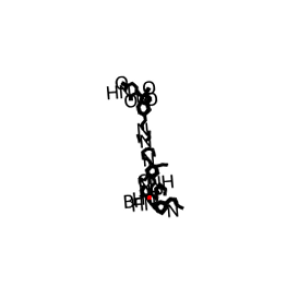 CCc1cc(Nc2ncc(Br)c(Nc3ccc4nc(C)ccc4c3[P]3(O)CC=CC3)n2)c(OC)cc1N1CCC(N2CCN(CCc3ccc4c(c3)oc(=O)n4C3CCC(=O)NC3=O)CC2)CC1